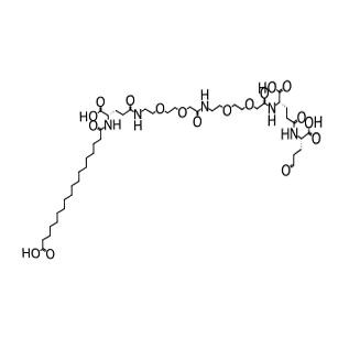 O=CCC[C@H](NC(=O)CC[C@H](NC(=O)COCCOCCNC(=O)COCCOCCNC(=O)CC[C@H](NC(=O)CCCCCCCCCCCCCCCCC(=O)O)C(=O)O)C(=O)O)C(=O)O